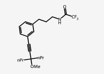 CCCC(C#Cc1cccc(CCCNC(=O)C(F)(F)F)c1)(CCC)OC